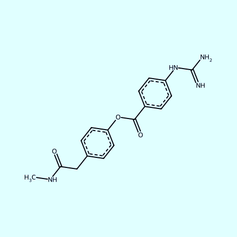 CNC(=O)Cc1ccc(OC(=O)c2ccc(NC(=N)N)cc2)cc1